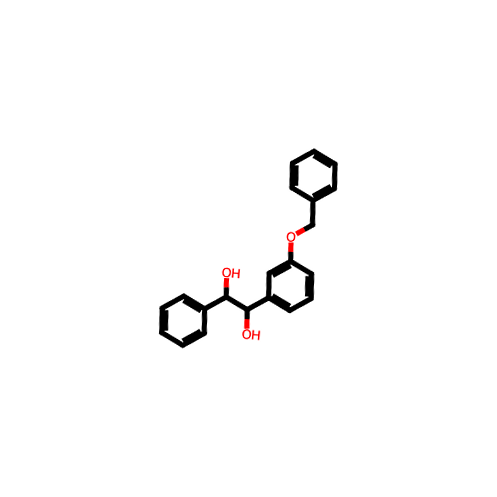 OC(c1ccccc1)C(O)c1cccc(OCc2ccccc2)c1